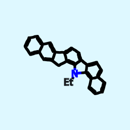 CCn1c2c3c(ccc2c2ccc4ccccc4c21)-c1cc2ccccc2cc1C3